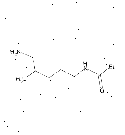 CCC(=O)NCCCC(C)CN